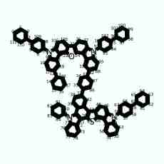 c1ccc(-c2ccc(-n3c4ccc(-c5ccccc5)cc4c4c5oc6c(ccc7c6c6cc(-c8ccc(-c9ccc%10c(c9)c9c%11ccc%12c(c%13ccccc%13n%12-c%12ccc(-c%13ccccc%13)cc%12)c%11sc9c9c%11ccccc%11n(-c%11ccccc%11)c%109)cc8)ccc6n7-c6ccc(-c7ccccc7)cc6)c5ccc43)cc2)cc1